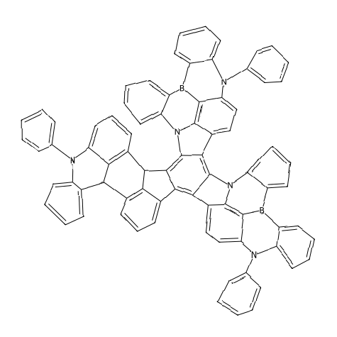 c1ccc(N2c3ccccc3C3c4cccc5c4C(c4cccc2c43)c2c-5c3c4ccc5c6c4n(c3c3c4ccc7c8c4n(c23)-c2ccccc2B8c2ccccc2N7c2ccccc2)-c2ccccc2B6c2ccccc2N5c2ccccc2)cc1